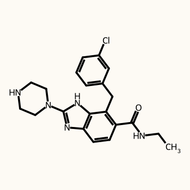 CCNC(=O)c1ccc2nc(N3CCNCC3)[nH]c2c1Cc1cccc(Cl)c1